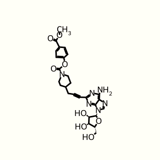 COC(=O)c1ccc(OC(=O)N2CCC(CC#Cc3nc(N)c4ncn([C@@H]5O[C@H](CO)[C@@H](O)[C@H]5O)c4n3)CC2)cc1